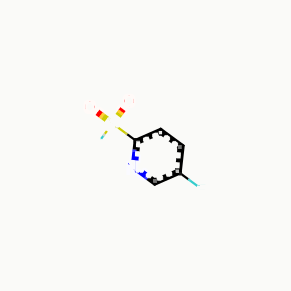 O=S(=O)(F)c1ccc(F)cn1